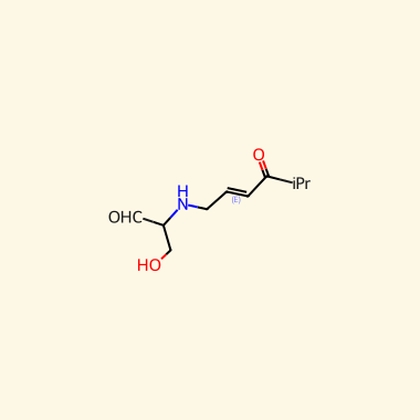 CC(C)C(=O)/C=C/CNC(C=O)CO